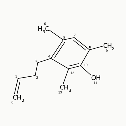 C=CCCc1c(C)cc(C)c(O)c1C